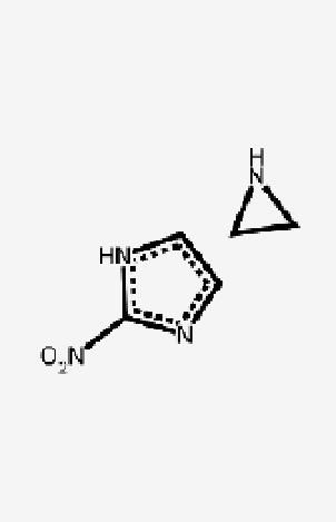 C1CN1.O=[N+]([O-])c1ncc[nH]1